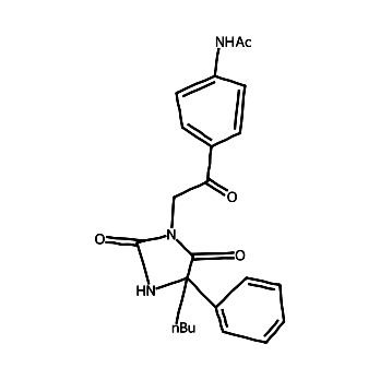 CCCCC1(c2ccccc2)NC(=O)N(CC(=O)c2ccc(NC(C)=O)cc2)C1=O